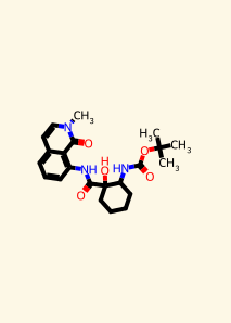 Cn1ccc2cccc(NC(=O)C3(O)CCCCC3NC(=O)OC(C)(C)C)c2c1=O